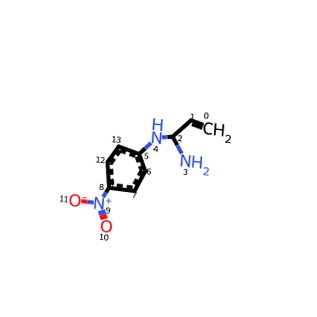 C=CC(N)Nc1ccc([N+](=O)[O-])cc1